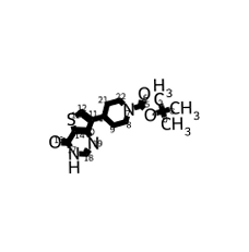 CC(C)(C)OC(=O)N1CCC(c2csc3c(=O)[nH]cnc23)CC1